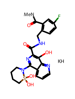 CNC(=O)c1cc(F)ccc1CNC(=O)c1nc(N2CCCCS2(O)O)c2cccnc2c1O.[KH]